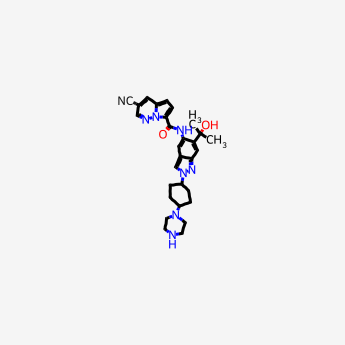 CC(C)(O)c1cc2nn(C3CCC(N4CCNCC4)CC3)cc2cc1NC(=O)c1ccc2cc(C#N)cnn12